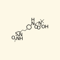 CC(=O)Nc1nc(CCc2ccc(NC(=O)CN(C(=O)O)C(C)(C)C)cc2)cs1